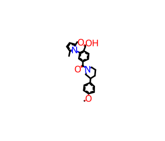 COc1ccc(C2CCCN(C(=O)c3ccc(C(=O)O)c(-n4c(C)ccc4C)c3)C2)cc1